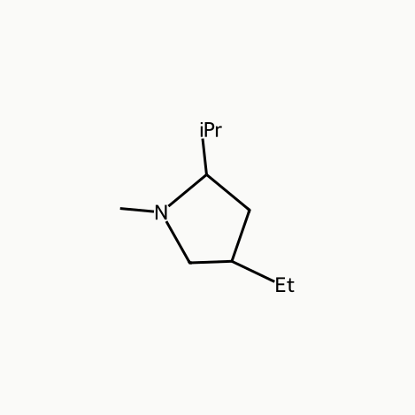 CCC1CC(C(C)C)N(C)C1